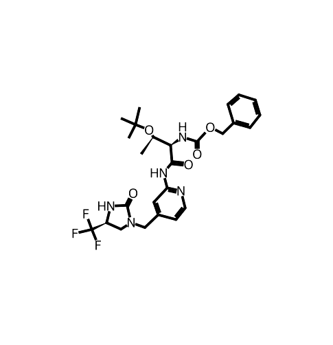 C[C@@H](OC(C)(C)C)[C@@H](NC(=O)OCc1ccccc1)C(=O)Nc1cc(CN2C[C@@H](C(F)(F)F)NC2=O)ccn1